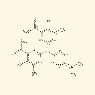 COC(=O)c1cc(C(c2ccc(N(C)C)cc2)c2cc(C)c(O)c(C(=O)OC)c2)cc(C)c1O